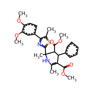 COC(=O)C1=C(C)NC(C)(c2nc(-c3ccc(OC)c(OC)c3)c(C)s2)C(C(=O)OC)C1c1ccccc1